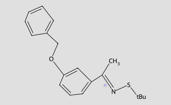 C/C(=N\SC(C)(C)C)c1cccc(OCc2ccccc2)c1